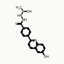 CB(O)NNC(=S)c1ccc(-c2ccc3cc(O)ccc3n2)cc1